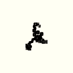 C=CCOC(=O)OC1=C(CCCn2cnnn2)S[C@@H]2[C@@H](CO)C(=O)N12